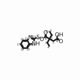 CCC(CC)(CC(=O)O)C(=O)OSc1nc2ccccc2[nH]1